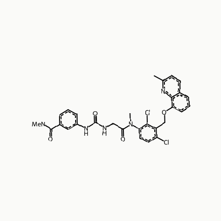 CNC(=O)c1cccc(NC(=O)NCC(=O)N(C)c2ccc(Cl)c(COc3cccc4ccc(C)nc34)c2Cl)c1